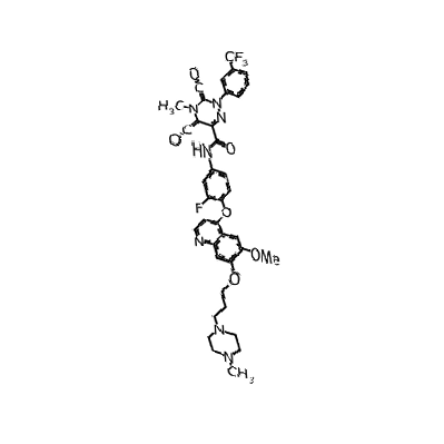 COc1cc2c(Oc3ccc(NC(=O)C4=NN(c5cccc(C(F)(F)F)c5)C(=C=O)N(C)C4=C=O)cc3F)ccnc2cc1OCCCN1CCN(C)CC1